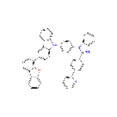 c1ccc(-c2ccc(-c3nc4ccccc4n3-c3ccc(-n4c5ccccc5c5cc(-c6cccc7c6oc6ccccc67)ccc54)cc3)cc2)nc1